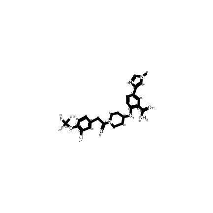 Cn1cnc(-c2ccc(OC3CCN(C(=O)Cc4ccc(OC(F)(F)F)c(Cl)c4)CC3)c(C(N)=O)c2)c1